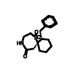 O=C1C[C@]2(CCCC[C@H]2Cc2ccccc2)S(=O)(=O)CCN1